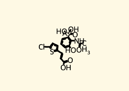 CC(=O)Nc1c(O)cccc1[As](=O)(O)O.O=C(O)C=Cc1ccc(Cl)s1